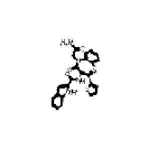 NC(=O)CN1C(=O)[C@@H](NC(=O)c2cc3ccccc3[nH]2)[C@H](c2cccs2)Sc2ccccc21